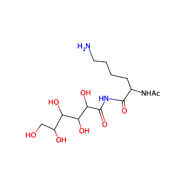 CC(=O)NC(CCCCN)C(=O)NC(=O)C(O)C(O)C(O)C(O)CO